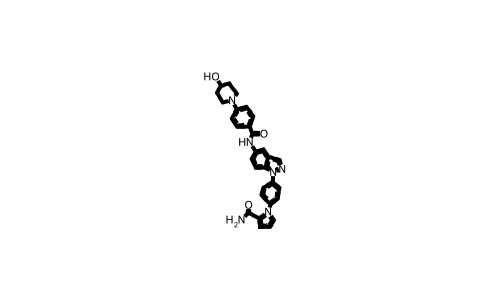 NC(=O)c1cccn1-c1ccc(-n2ncc3cc(NC(=O)c4ccc(N5CCC(O)CC5)cc4)ccc32)cc1